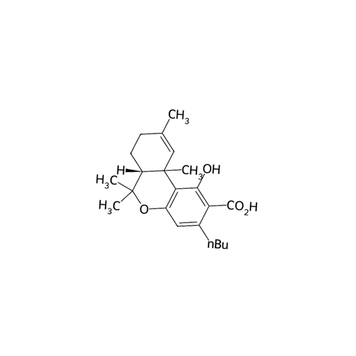 CCCCc1cc2c(c(O)c1C(=O)O)C1(C)C=C(C)CC[C@H]1C(C)(C)O2